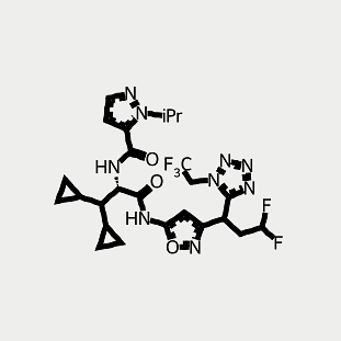 CC(C)n1nccc1C(=O)N[C@H](C(=O)Nc1cc(C(CC(F)F)c2nnnn2CC(F)(F)F)no1)C(C1CC1)C1CC1